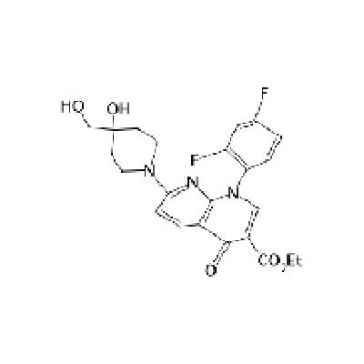 CCOC(=O)c1cn(-c2ccc(F)cc2F)c2nc(N3CCC(O)(CO)CC3)ccc2c1=O